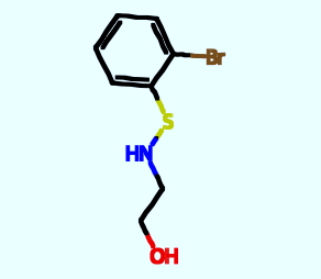 OCCNSc1ccccc1Br